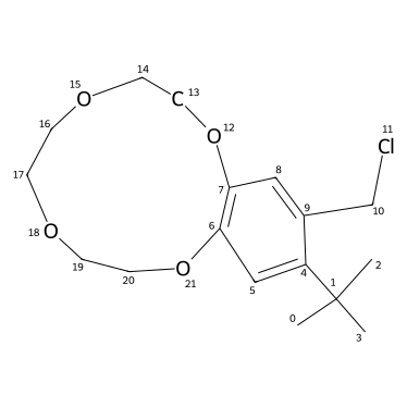 CC(C)(C)c1cc2c(cc1CCl)OCCOCCOCCO2